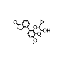 COc1ccc(-c2cccc3c2CCC3=O)c(OC(CO)C2CC2)c1OC